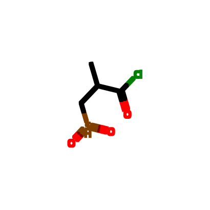 CC(C[SH](=O)=O)C(=O)Cl